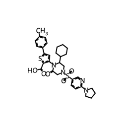 Cc1ccc(-c2cc(N3C(=O)CN(S(=O)(=O)c4ccc(N5CCCC5)nc4)CC3C3CCCCC3)c(C(=O)O)s2)cc1